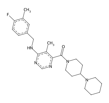 Cc1cc(CNc2ncnc(C(=O)N3CCC(N4CCCCC4)CC3)c2C)ccc1F